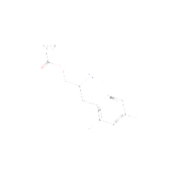 CNC(=O)OCC(N)Cc1ccc(Cl)cc1Cl